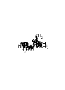 CCCCOc1c2n(c(CNC(=O)C(CC)NC(=O)c3cccn4c(=O)[nH]nc34)cc1=O)CCN(C(C)C)C2=O